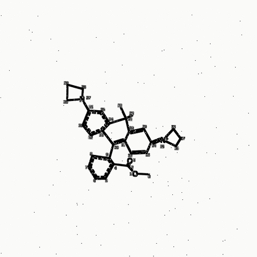 COC(=O)c1ccccc1C1=C2C=CC(=[N+]3CCC3)C=C2C(C)(C)c2cc(N3CCC3)ccc21